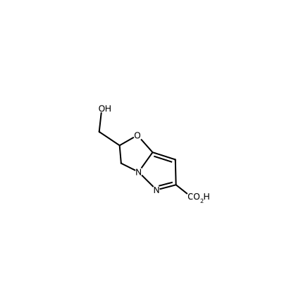 O=C(O)c1cc2n(n1)CC(CO)O2